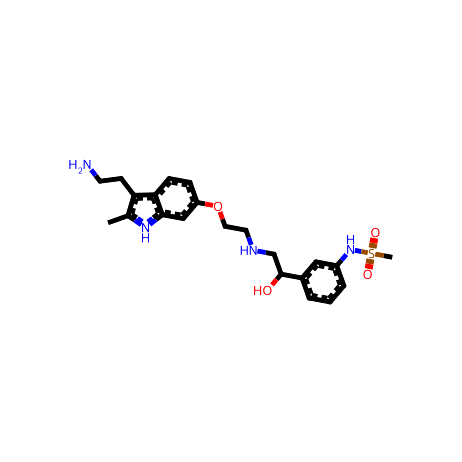 Cc1[nH]c2cc(OCCNCC(O)c3cccc(NS(C)(=O)=O)c3)ccc2c1CCN